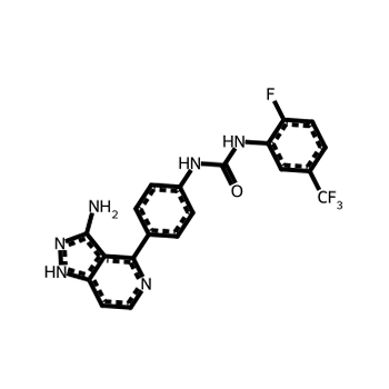 Nc1n[nH]c2ccnc(-c3ccc(NC(=O)Nc4cc(C(F)(F)F)ccc4F)cc3)c12